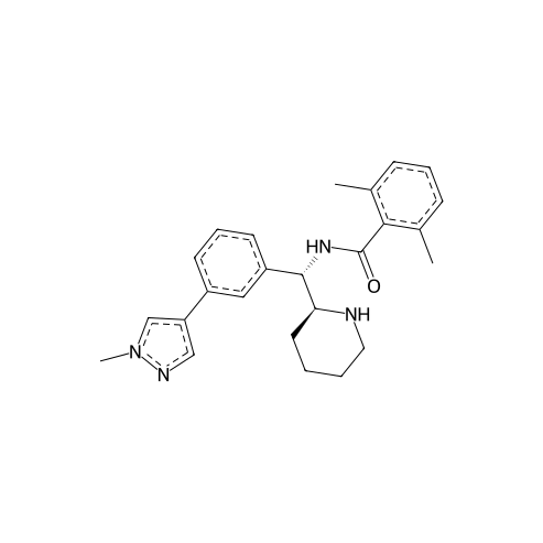 Cc1cccc(C)c1C(=O)N[C@@H](c1cccc(-c2cnn(C)c2)c1)[C@@H]1CCCCN1